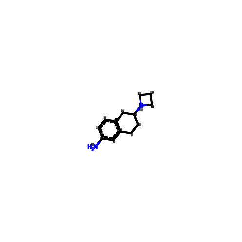 Nc1ccc2c(c1)CCC(N1CCC1)C2